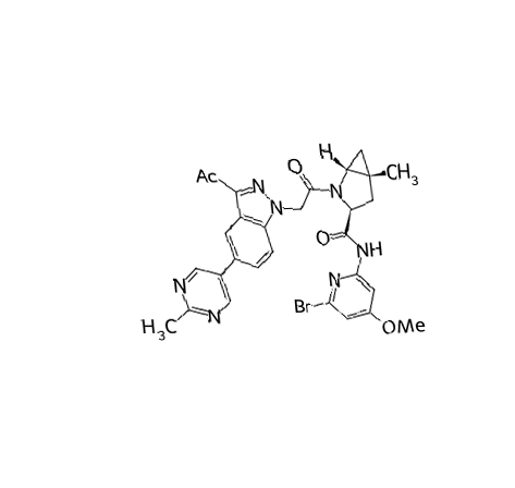 COc1cc(Br)nc(NC(=O)[C@@H]2C[C@@]3(C)C[C@H]3N2C(=O)Cn2nc(C(C)=O)c3cc(-c4cnc(C)nc4)ccc32)c1